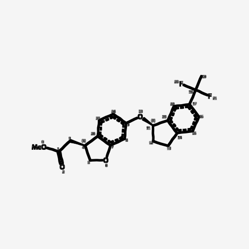 COC(=O)C[C@@H]1COc2cc(O[C@@H]3CCc4ccc(C(C)(F)F)cc43)ccc21